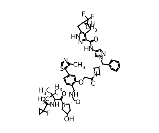 Cc1ncsc1-c1ccc(CNC(=O)[C@@H]2C[C@@H](O)CN2C(=O)[C@@H](NC(=O)C2(F)CC2)C(C)(C)C)c(OCC(=O)N2CC([C@@H](c3ccccc3)n3cc(NC(=O)c4n[nH]c5c4C[C@@H]4C(F)(F)[C@]4(C)C5)cn3)C2)c1